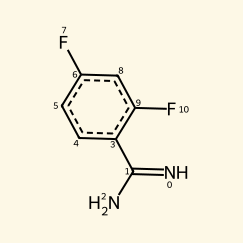 N=C(N)c1ccc(F)cc1F